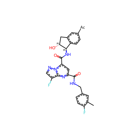 CC(=O)c1ccc2c(c1)C[C@@H](O)[C@@H]2NC(=O)c1cc(C(=O)NCc2ccc(F)c(C)c2)nc2c(F)cnn12